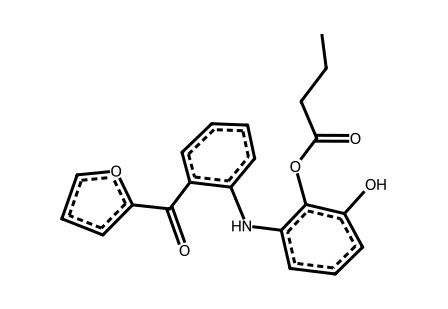 CCCC(=O)Oc1c(O)cccc1Nc1ccccc1C(=O)c1ccco1